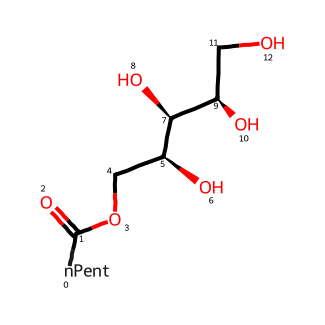 CCCCCC(=O)OC[C@H](O)[C@@H](O)[C@H](O)CO